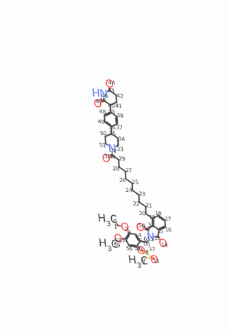 CCOc1cc([C@@H](CS(C)(=O)=O)N2C(=O)c3cccc(CCCCCCCCCCC(=O)N4CCC(c5ccc(C6CCC(=O)NC6=O)cc5)CC4)c3C2=O)ccc1OC